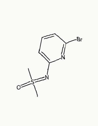 CS(C)(=O)=Nc1cccc(Br)n1